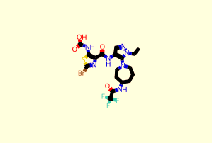 CCn1ncc(NC(=O)c2nc(Br)sc2NC(=O)O)c1N1CCCC(NC(=O)C(F)(F)F)CC1